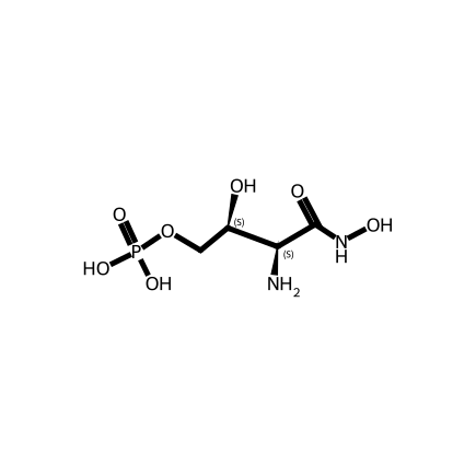 N[C@H](C(=O)NO)[C@H](O)COP(=O)(O)O